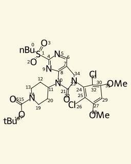 CCCCS(=O)(=O)c1ncc2c(n1)N(C1CCN(C(=O)OC(C)(C)C)CC1)C(=O)N(c1c(Cl)c(OC)cc(OC)c1Cl)C2